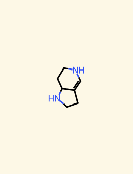 C1=C2CCNC2CCN1